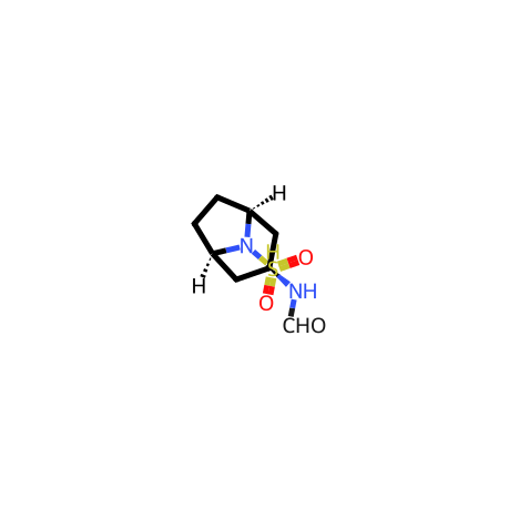 O=CN[C@H]1C[C@H]2CC[C@@H](C1)N2[SH](=O)=O